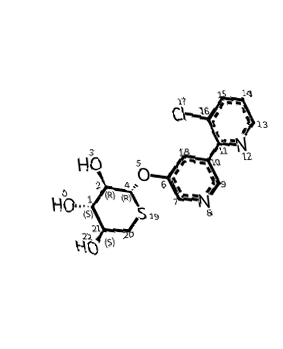 O[C@@H]1[C@@H](O)[C@H](Oc2cncc(-c3ncccc3Cl)c2)SC[C@H]1O